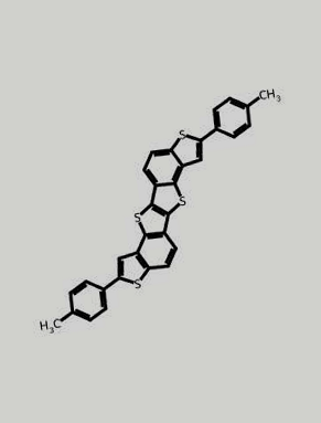 Cc1ccc(-c2cc3c(ccc4c3sc3c5ccc6sc(-c7ccc(C)cc7)cc6c5sc43)s2)cc1